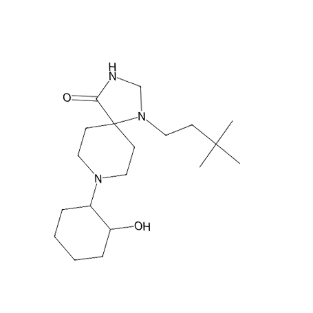 CC(C)(C)CCN1CNC(=O)C12CCN(C1CCCCC1O)CC2